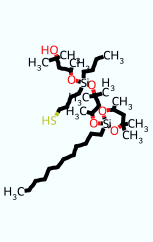 CCCCCCCCCCCC[Si]1(OC(C)CC(C)(C)O[Si](CCCC)(CCCCS)OC(C)CC(C)(C)O)OC(C)CC(C)(C)O1